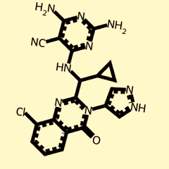 N#Cc1c(N)nc(N)nc1NC(c1nc2c(Cl)cccc2c(=O)n1-c1cn[nH]c1)C1CC1